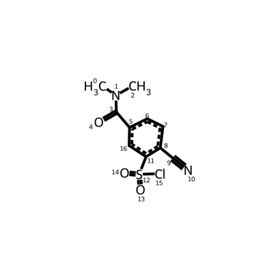 CN(C)C(=O)c1ccc(C#N)c(S(=O)(=O)Cl)c1